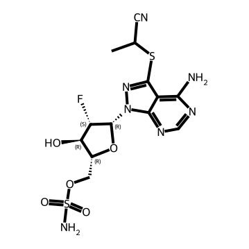 CC(C#N)Sc1nn([C@@H]2O[C@H](COS(N)(=O)=O)[C@@H](O)[C@@H]2F)c2ncnc(N)c12